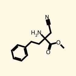 COC(=O)C(N)(CC#N)CCc1ccccc1